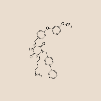 NCCCC[C@H]1C(=O)N[C@@H](Cc2ccc(Oc3cccc(OC(F)(F)F)c3)cc2)C(=O)N1Cc1ccc(-c2ccccc2)cc1